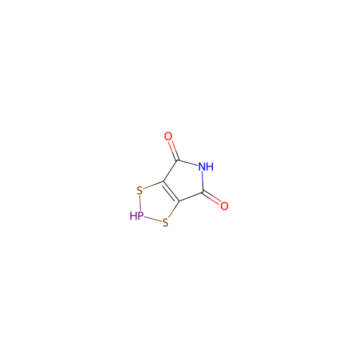 O=c1[nH]c(=O)c2s[pH]sc1=2